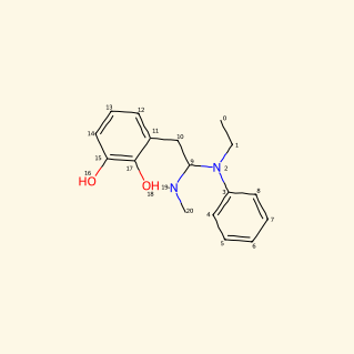 CCN(c1ccccc1)C(Cc1cccc(O)c1O)[N]C